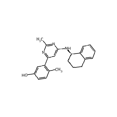 Cc1nc(N[C@@H]2CCCc3ccccc32)cc(-c2cc(O)ccc2C)n1